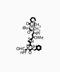 CCC[C@@H](C=O)NC(=O)[C@H](Cc1ccccc1)NC(=O)c1csc([C@@H](C[C@H](C(C)C)N(C)C(=O)[C@@H](NC(=O)[C@H]2CCCCN2C)[C@@H](C)CC)OC)n1